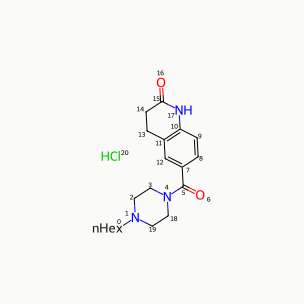 CCCCCCN1CCN(C(=O)c2ccc3c(c2)CCC(=O)N3)CC1.Cl